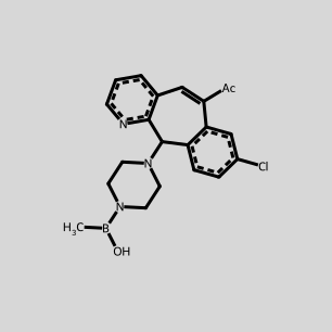 CB(O)N1CCN(C2c3ccc(Cl)cc3C(C(C)=O)=Cc3cccnc32)CC1